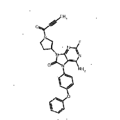 CC#CC(=O)N1CCC(n2c(=O)n(-c3ccc(Oc4ccccc4)cc3)c3c(N)nc(F)nc32)C1